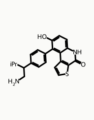 CC(C)C(CN)c1ccc(-c2c(O)ccc3[nH]c(=O)c4sccc4c23)cc1